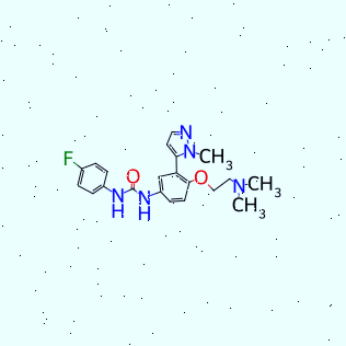 CN(C)CCOc1ccc(NC(=O)Nc2ccc(F)cc2)cc1-c1ccnn1C